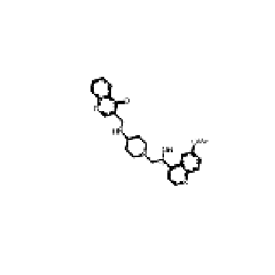 COc1ccc2nccc([C@H](O)CN3CCC(NCc4coc5ccccc5c4=O)CC3)c2c1